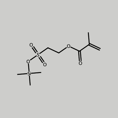 C=C(C)C(=O)OCCS(=O)(=O)O[Si](C)(C)C